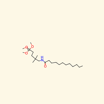 CCCCCCCC[CH]CCC(=O)NCC(C)(C)CC[Si](OC)(OC)OC